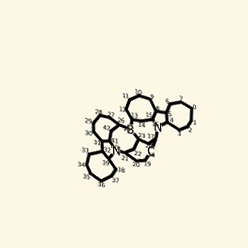 C1CCCC2C(CC1)C1CCCCC3CC1N2C1CCCC2CC(C1)B3C1CCCCC3C4CCCCCCC4N2C3C1